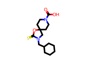 O=C(O)N1CCC2(CC1)CN(CC1CCCCC1)C(=S)O2